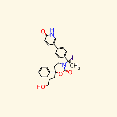 C[C@](I)(c1ccc(-c2ccc(=O)[nH]c2)cc1)N1CCC(CCCO)(c2ccccc2)OC1=O